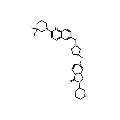 O=C1c2ccc(O[C@H]3CCN(Cc4ccc5nc(N6CCCC(F)(F)C6)ccc5c4)C3)cc2CN1C1CCCNC1